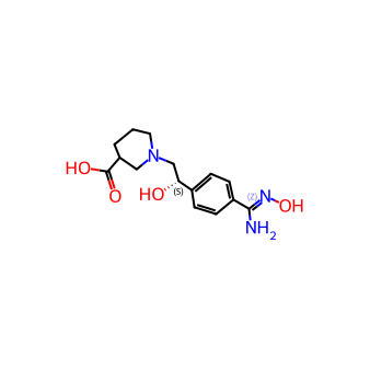 N/C(=N\O)c1ccc([C@H](O)CN2CCCC(C(=O)O)C2)cc1